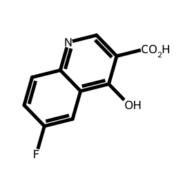 O=C(O)c1cnc2ccc(F)cc2c1O